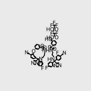 Cn1cncc1C(NCCCNS(=O)(=O)c1cccc(O)c1)(c1ccc(F)cc1)c1ccc(C#N)c(F)c1.Cn1cncc1C1(c2ccc(F)cc2)NCCCNS(=O)(=O)c2cccc(c2)Oc2cc1ccc2C#N.O=C(O)C(F)(F)F.O=C(O)C(F)(F)F